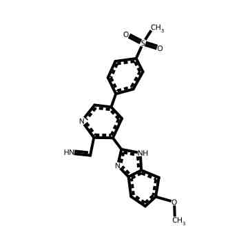 COc1ccc2nc(-c3cc(-c4ccc(S(C)(=O)=O)cc4)cnc3C=N)[nH]c2c1